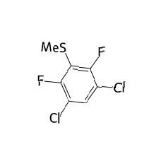 CSc1c(F)c(Cl)cc(Cl)c1F